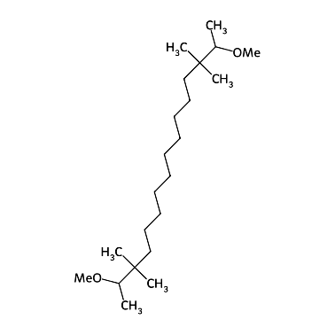 COC(C)C(C)(C)CCCCCCCCCCC(C)(C)C(C)OC